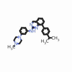 CC(C)c1ccc(-c2cccc3cnc(Nc4cccc(N5CCN(C)CC5)c4)nc23)cc1